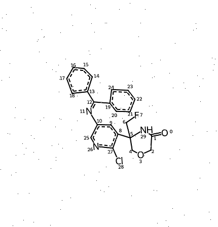 O=C1COCC(CF)(c2cc(N=C(c3ccccc3)c3ccccc3)cnc2Cl)N1